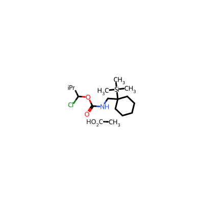 CC(=O)O.CC(C)C(Cl)OC(=O)NCC1([Si](C)(C)C)CCCCC1